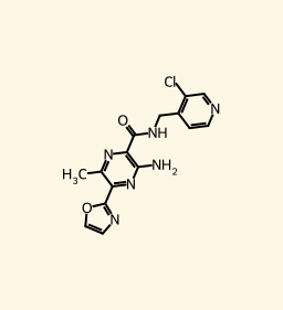 Cc1nc(C(=O)NCc2ccncc2Cl)c(N)nc1-c1ncco1